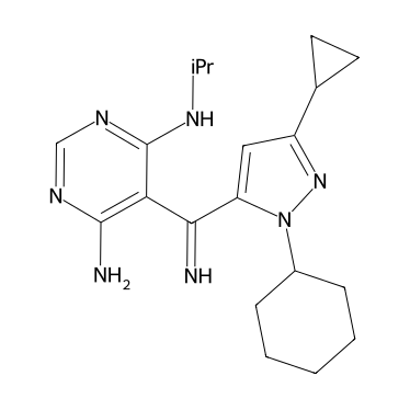 CC(C)Nc1ncnc(N)c1C(=N)c1cc(C2CC2)nn1C1CCCCC1